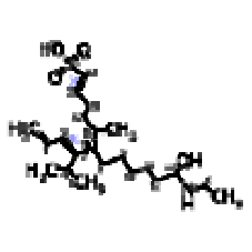 C=C/C=C(\C(C)C)N(CCCCCC(O)NCC)C(C)CC/C=C/S(=O)(=O)O